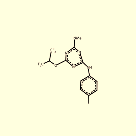 CNc1nc(Nc2ccc(C)cc2)nc(OC(C(F)(F)F)C(F)(F)F)n1